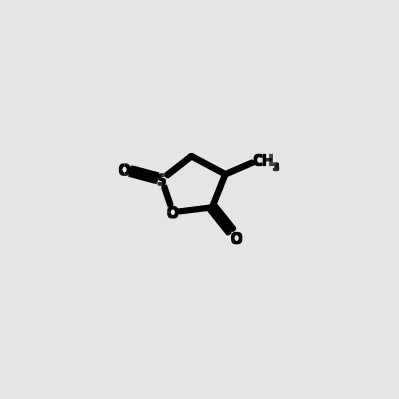 CC1CS(=O)OC1=O